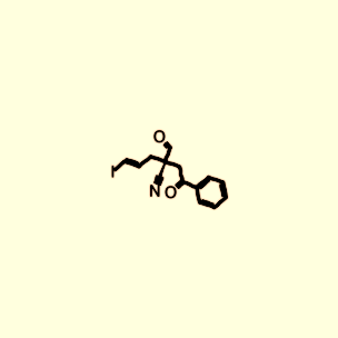 N#C[C@](C=O)(C/C=C/I)CC(=O)c1ccccc1